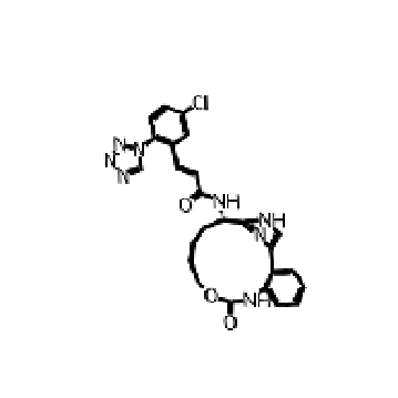 O=C(/C=C/c1cc(Cl)ccc1-n1cnnn1)N[C@H]1CCCCOC(=O)Nc2ccccc2-c2c[nH]c1n2